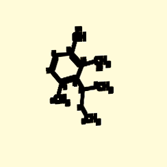 CCC(C)c1c(C)ccc(O)c1C